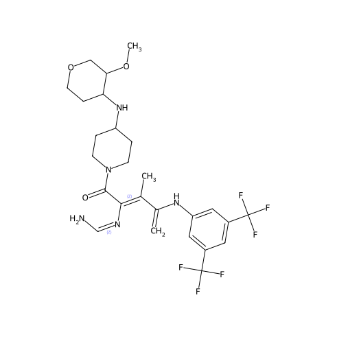 C=C(Nc1cc(C(F)(F)F)cc(C(F)(F)F)c1)/C(C)=C(\N=C/N)C(=O)N1CCC(NC2CCOCC2OC)CC1